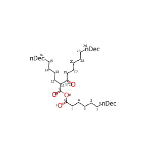 CCCCCCCCCCCCCCCC(=O)OC(=O)C(CCCCCCCCCCCCCC)C(=O)CCCCCCCCCCCCCCC